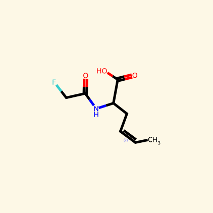 C/C=C\CC(NC(=O)CF)C(=O)O